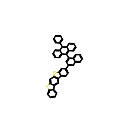 c1ccc(-c2c3ccccc3c(-c3cc(-c4ccc5c(c4)sc4cc6sc7ccccc7c6cc45)cc4ccccc34)c3ccccc23)cc1